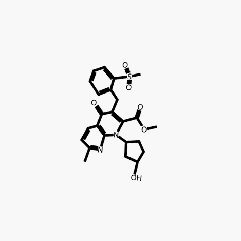 COC(=O)c1c(Cc2ccccc2S(C)(=O)=O)c(=O)c2ccc(C)nc2n1C1CCC(O)C1